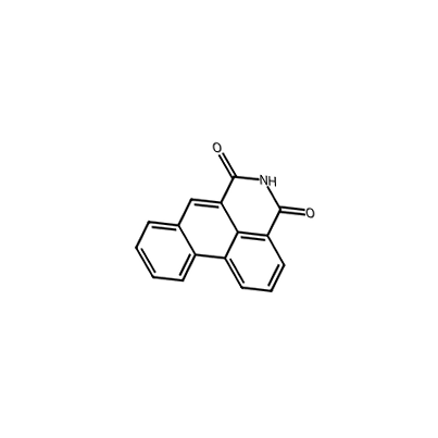 O=C1NC(=O)c2cc3ccccc3c3cccc1c23